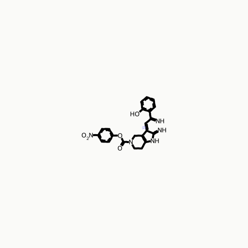 N=C1NC2=C(CN(C(=O)Oc3ccc([N+](=O)[O-])cc3)CC2)/C1=C/C(=N)c1ccccc1O